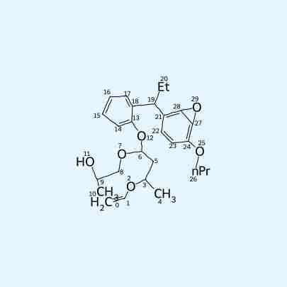 C=COC(C)CC(OCC(C)O)Oc1ccccc1C(CC)c1ccc(OCCC)c2c1O2